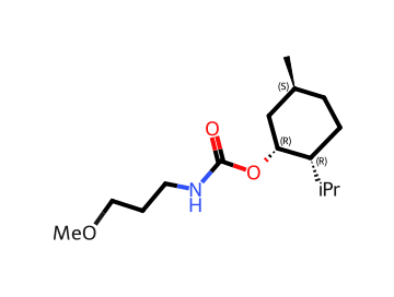 COCCCNC(=O)O[C@@H]1C[C@@H](C)CC[C@@H]1C(C)C